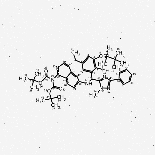 CCc1cc(O[Si](C)(C)C(C)(C)C)c(F)c(C(Nc2ccc3c(N(C(=O)OC(C)(C)C)C(=O)OC(C)(C)C)nccc3c2)c2nc(-c3ccccc3)nn2C)c1